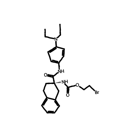 CCN(CC)c1ccc(NC(=O)[C@]2(NC(=O)OCCBr)CCc3ccccc3C2)cc1